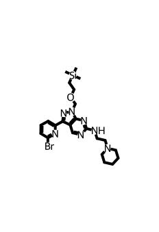 C[Si](C)(C)CCOCn1nc(-c2cccc(Br)n2)c2cnc(NCCN3CCCCC3)nc21